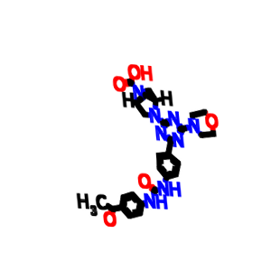 CC(=O)c1ccc(NC(=O)Nc2ccc(-c3nc(N4CCOCC4)nc(N4C[C@H]5C[C@@H]4CN5C(=O)O)n3)cc2)cc1